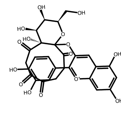 O=C1CCC(=O)C2(Oc3cc4c(O)cc(O)cc4[o+]c3-c3ccc(O)c(O)c3)O[C@H](CO)[C@H](O)[C@H](O)[C@]2(O)C(=O)CC1=O